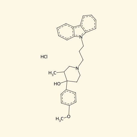 COc1ccc(C2(O)CCN(CCCn3c4ccccc4c4ccccc43)CC2C)cc1.Cl